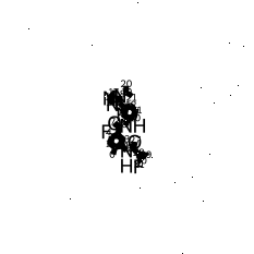 Cc1cc(F)c(C(=O)Nc2cccc(-c3nncn3C(C)C)n2)cc1NC(=O)C1C[C@@H]1F